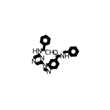 C[C@H](Nc1cncc(-n2cnc3ccc(C(=O)NCc4ccccc4)cc32)n1)c1ccccc1